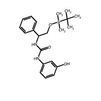 CC(C)(C)[Si](C)(C)OCC(NC(=O)Nc1cccc(O)c1)c1ccccc1